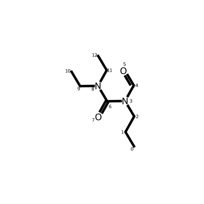 CCCN([C]=O)C(=O)N(CC)CC